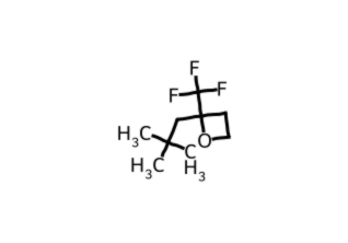 CC(C)(C)CC1(C(F)(F)F)CCO1